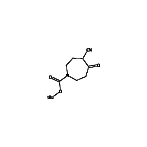 CC(C)(C)OC(=O)N1CCC(=O)C(C#N)CC1